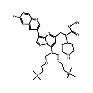 CC(C)(C)OC(=O)N(Cc1cc(N(COCC[Si](C)(C)C)COCC[Si](C)(C)C)n2ncc(-c3cnc4ccc(F)cc4c3)c2n1)C1CCNCC1